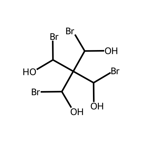 OC(Br)C(C(O)Br)(C(O)Br)C(O)Br